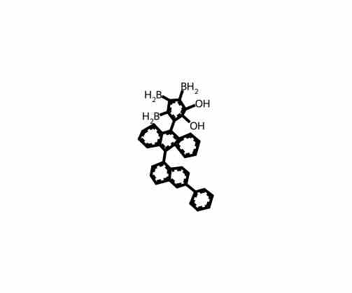 Bc1c(B)c(O)c(O)c(-c2c3ccccc3c(-c3cccc4cc(-c5ccccc5)ccc34)c3ccccc23)c1B